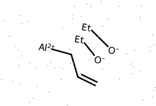 C=C[CH2][Al+2].CC[O-].CC[O-]